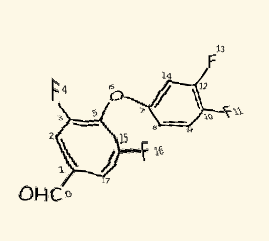 O=Cc1cc(F)c(Oc2ccc(F)c(F)c2)c(F)c1